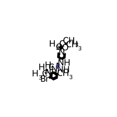 CN/C(=C\NC1CCN(C(=O)OC(C)(C)C)CC1)N(C)c1cccc(Br)c1NC